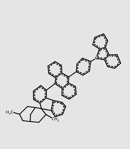 CC1CC2CC(C)C3(c4ccccc4-c4c(-c5c6ccccc6c(-c6ccc(-n7c8ccccc8c8ccccc87)cc6)c6ccccc56)cccc43)C(C1)C2